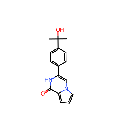 CC(C)(O)c1ccc(-c2cn3cccc3c(=O)[nH]2)cc1